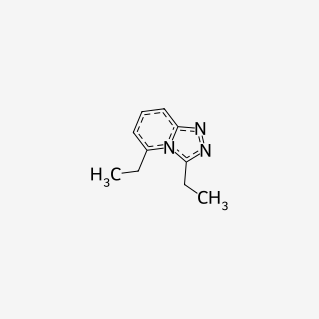 CCc1cccc2nnc(CC)n12